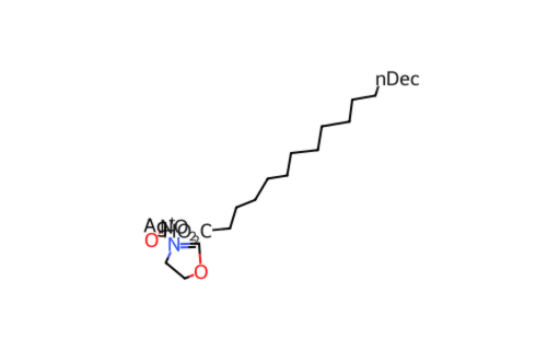 C1=NCCO1.CCCCCCCCCCCCCCCCCCCCCC(=O)O.O=[N+]([O-])[O-].[Ag+]